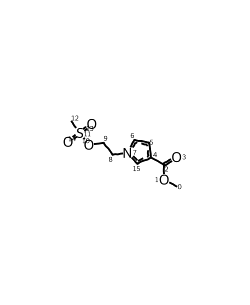 COC(=O)c1ccn(CCOS(C)(=O)=O)c1